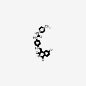 CN1CCN(NC(=O)Nc2ccc(NC=C3C(=O)NC(=O)c4ccc(Br)cc43)cc2)CC1